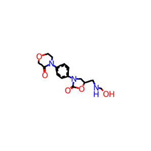 O=C1COCCN1c1ccc(N2CC(CNCO)OC2=O)cc1